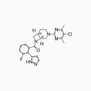 Cc1nc(N2CC[C@@H]3CN(C(=O)c4cccc(F)c4-c4ccn[nH]4)[C@@H]3C2)nc(C)c1Cl